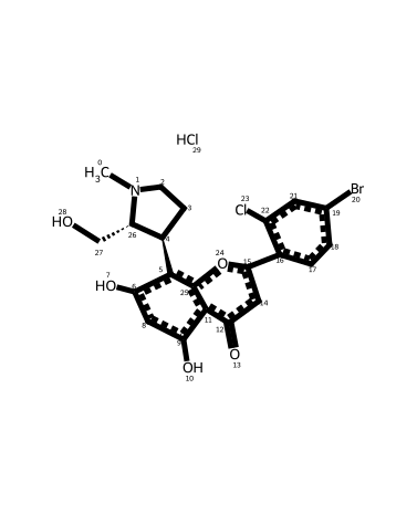 CN1CC[C@@H](c2c(O)cc(O)c3c(=O)cc(-c4ccc(Br)cc4Cl)oc23)[C@@H]1CO.Cl